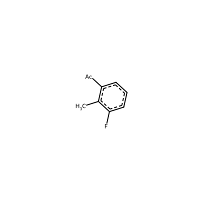 CC(=O)c1cccc(F)c1C